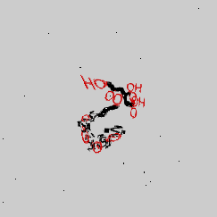 C[Si](C)(C)O[Si](C)(C)O[Si](C)(C)O[Si](C)(C)O[Si](C)(C)CCCOC(CC(=O)O)(CC(=O)CO)C(=O)O